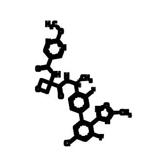 COc1ncc(C(=O)NC2(C(=O)N[C@H](C)c3ccc(-c4cc(Cl)cc(F)c4-c4noc(C)n4)cc3F)COC2)cn1